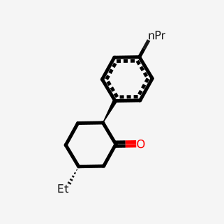 CCCc1ccc([C@@H]2CC[C@@H](CC)CC2=O)cc1